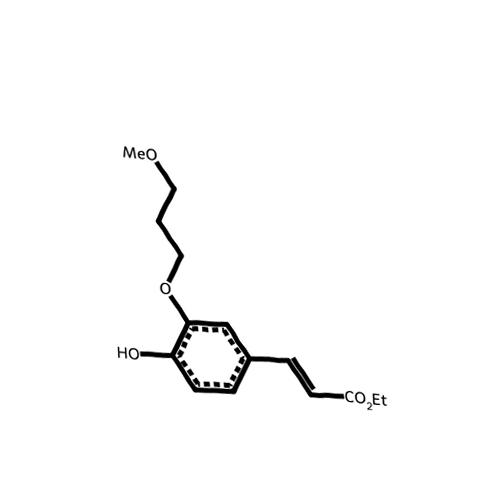 CCOC(=O)C=Cc1ccc(O)c(OCCCOC)c1